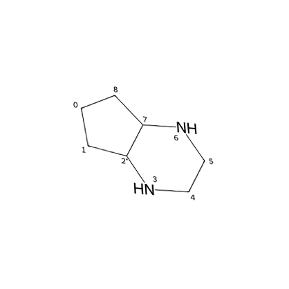 C1C[C]2NCCNC2C1